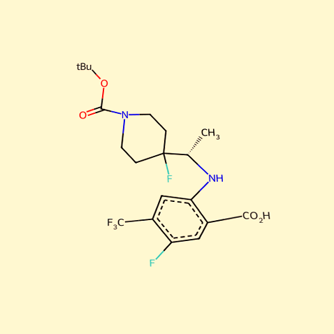 C[C@H](Nc1cc(C(F)(F)F)c(F)cc1C(=O)O)C1(F)CCN(C(=O)OC(C)(C)C)CC1